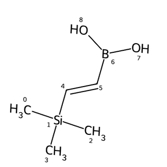 C[Si](C)(C)C=CB(O)O